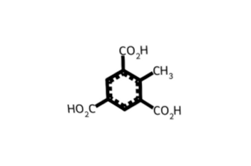 Cc1c(C(=O)O)cc(C(=O)O)cc1C(=O)O